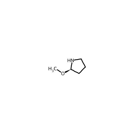 CO[C@@H]1CCCN1